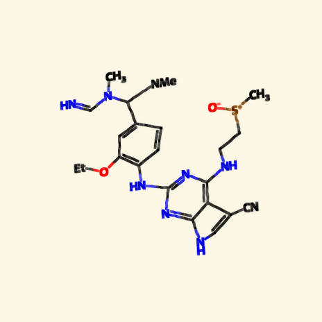 CCOc1cc(C(NC)N(C)C=N)ccc1Nc1nc(NCC[S+](C)[O-])c2c(C#N)c[nH]c2n1